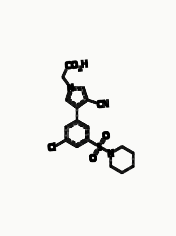 N#Cc1cn(CC(=O)O)cc1-c1cc(Cl)cc(S(=O)(=O)N2CCCCC2)c1